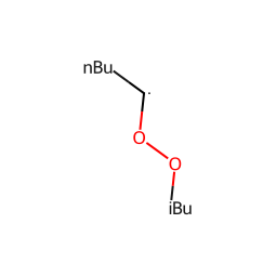 CCCC[CH]OOC(C)CC